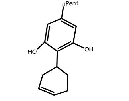 CCCCCc1cc(O)c(C2CC=CCC2)c(O)c1